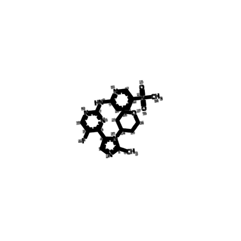 Cc1ncc(-c2nc(Nc3ccc(S(C)(=O)=O)cn3)ncc2F)n1C1CCOCC1